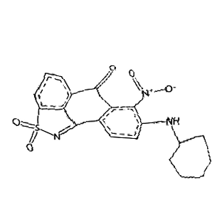 O=C1c2cccc3c2C(=NS3(=O)=O)c2ccc(NC3CCCCC3)c([N+](=O)[O-])c21